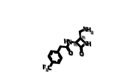 NC[C@H]1NC(=O)[C@H]1NC(=O)Cc1ccc(C(F)(F)F)cc1